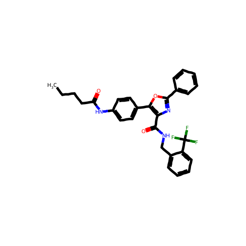 CCCCC(=O)Nc1ccc(-c2oc(-c3ccccc3)nc2C(=O)NCc2ccccc2C(F)(F)F)cc1